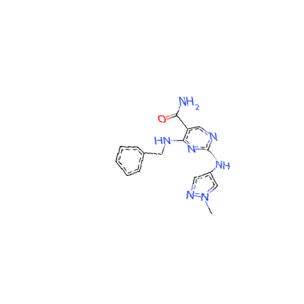 Cn1cc(Nc2ncc(C(N)=O)c(NCc3ccccc3)n2)cn1